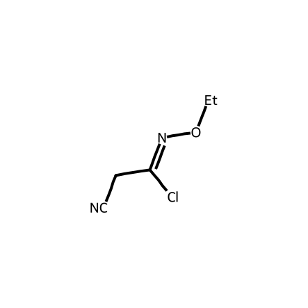 CCON=C(Cl)CC#N